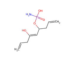 C=CCC(O)=CC(CC=C)OP(N)(=O)O